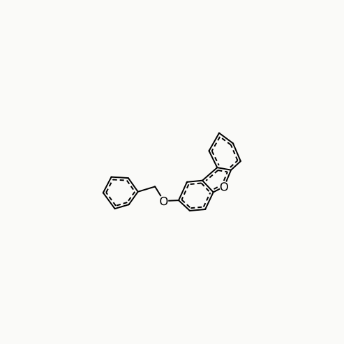 c1ccc(COc2ccc3oc4ccccc4c3c2)cc1